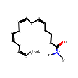 CCCCC/C=C\C/C=C\C/C=C\C/C=C\CCCC(=O)N(CC)CC